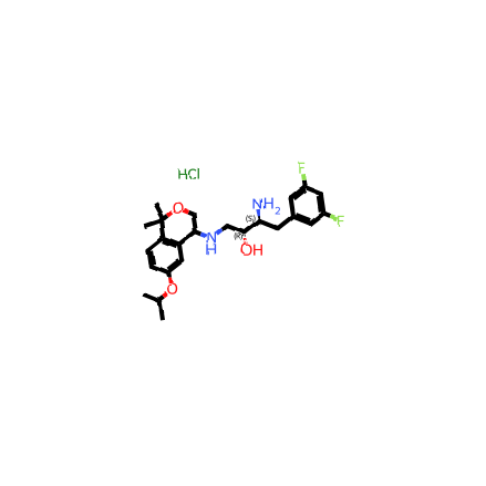 CC(C)Oc1ccc2c(c1)C(NC[C@@H](O)[C@@H](N)Cc1cc(F)cc(F)c1)COC2(C)C.Cl